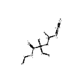 CCOC(=O)C(C)(CC)CC(C)N=[N+]=[N-]